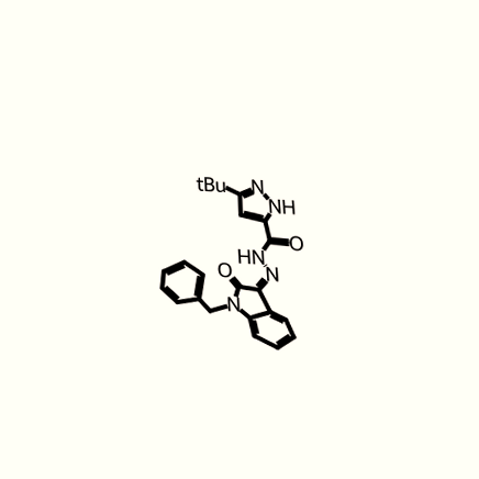 CC(C)(C)c1cc(C(=O)N/N=C2\C(=O)N(Cc3ccccc3)c3ccccc32)[nH]n1